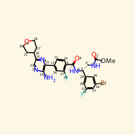 COC(=O)NC[C@@H](NC(=O)c1ccc(-c2nc(C3CCOCC3)cnc2N)cc1F)c1cc(F)cc(Br)c1